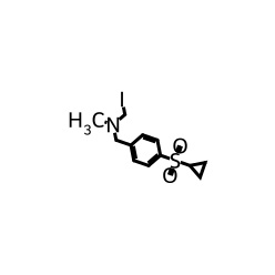 CN(CI)Cc1ccc(S(=O)(=O)C2CC2)cc1